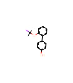 CCC(C)(I)Oc1ccccc1-c1ccc(O)cc1